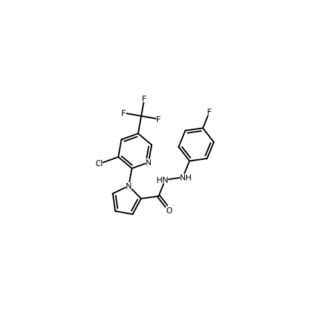 O=C(NNc1ccc(F)cc1)c1cccn1-c1ncc(C(F)(F)F)cc1Cl